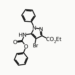 CCOC(=O)c1nn(-c2ccccc2)c(NC(=O)Oc2ccccc2)c1Br